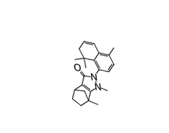 Cc1ccc(-n2c(=O)c3c(n2C)C2(C)CCC3C2)c2c1C=CCC2(C)C